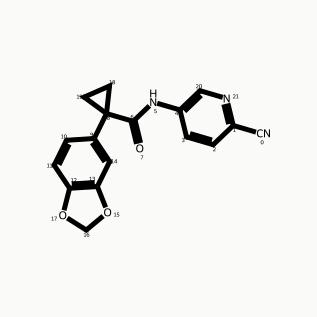 N#Cc1ccc(NC(=O)C2(c3ccc4c(c3)OCO4)CC2)cn1